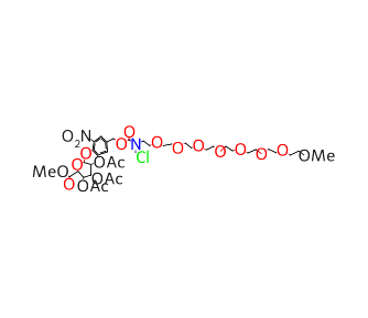 COCCOCCOCCOCCOCCOCCOCCOCCN(CCl)C(=O)OCc1ccc(O[C@@H]2OC(C(=O)OC)C(OC(C)=O)[C@H](OC(C)=O)C2OC(C)=O)c([N+](=O)[O-])c1